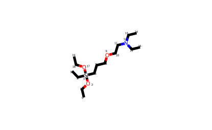 CCO[Si](CC)(CCCOCCN(CC)CC)OCC